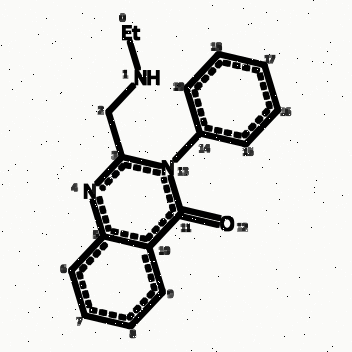 CCNCc1nc2ccccc2c(=O)n1-c1ccccc1